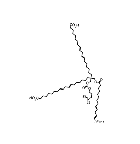 CCCCCC=CCC=CCCCCCCCC(=O)OCC(CCCCCCC=CCC=CCCCCCCCC(=O)O)(CCCCCCC=CCC=CCCCCCCCC(=O)O)COC(=O)OCCCN(CC)CC